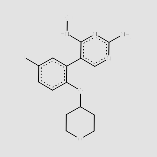 CNc1nc(N)ncc1-c1cc(I)ccc1OC1CCOCC1